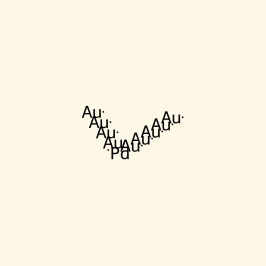 [Au].[Au].[Au].[Au].[Au].[Au].[Au].[Au].[Au].[Pd]